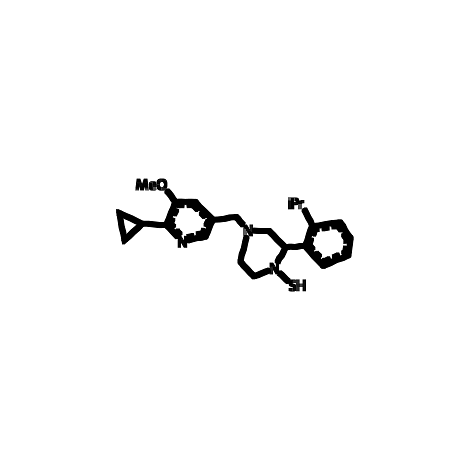 COc1cc(CN2CCN(S)C(c3ccccc3C(C)C)C2)cnc1C1CC1